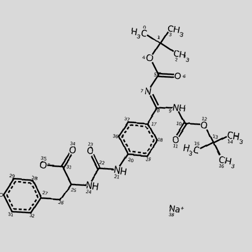 CC(C)(C)OC(=O)N=C(NC(=O)OC(C)(C)C)c1ccc(NC(=O)NC(Cc2ccccc2)C(=O)[O-])cc1.[Na+]